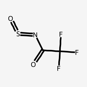 O=S=NC(=O)C(F)(F)F